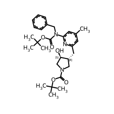 Cc1cc(C[C@@H]2CN(C(=O)OC(C)(C)C)C[C@H]2O)nc(N(Cc2ccccc2)C(=O)OC(C)(C)C)c1